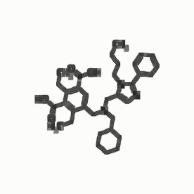 CCCCn1c(CN(Cc2cc(C(=O)O)c(CC)c(C(=O)O)c2CC)CC2CCCCC2)cnc1-c1ccccc1